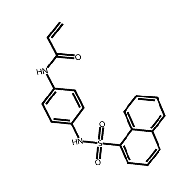 C=CC(=O)Nc1ccc(NS(=O)(=O)c2cccc3ccccc23)cc1